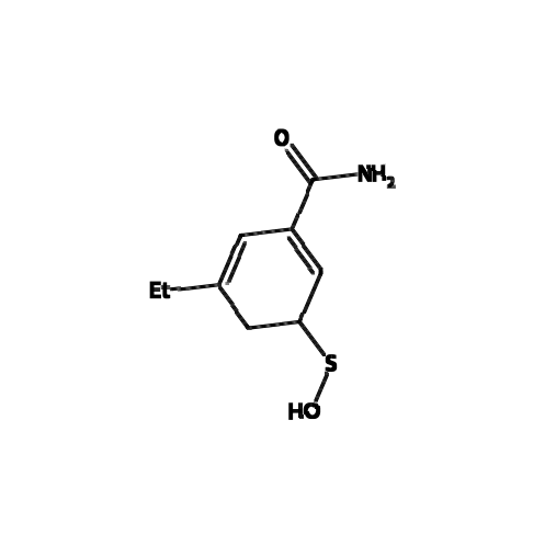 CCC1=CC(C(N)=O)=CC(SO)C1